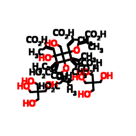 CC(=COC(C=C(C)C(=O)O)(C=C(C)C(=O)O)C(CO)(C(O)(C=C(C)C(=O)O)C=C(C)C(=O)O)C(C=C(C)C(=O)O)(C=C(C)C(=O)O)OC=C(C)C(=O)O)C(=O)O.OCC(CO)(CO)CO.OCC(CO)(CO)CO